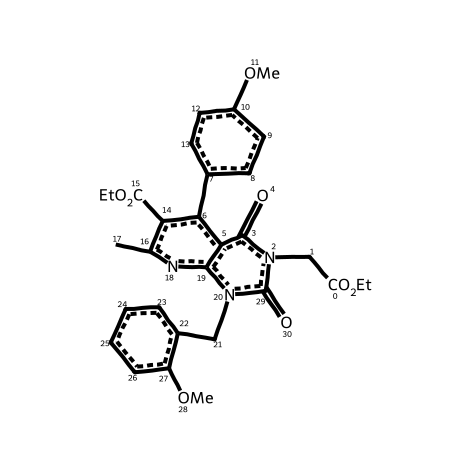 CCOC(=O)Cn1c(=O)c2c(-c3ccc(OC)cc3)c(C(=O)OCC)c(C)nc2n(Cc2ccccc2OC)c1=O